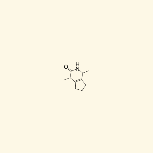 CC1NC(=O)C(C)C2=C1CCC2